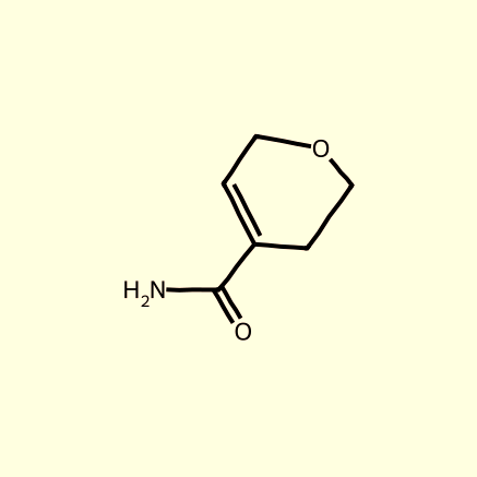 NC(=O)C1=CCOCC1